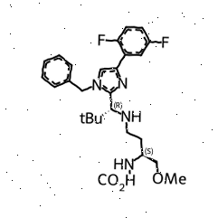 COC[C@H](CCN[C@@H](c1nc(-c2cc(F)ccc2F)cn1Cc1ccccc1)C(C)(C)C)NC(=O)O